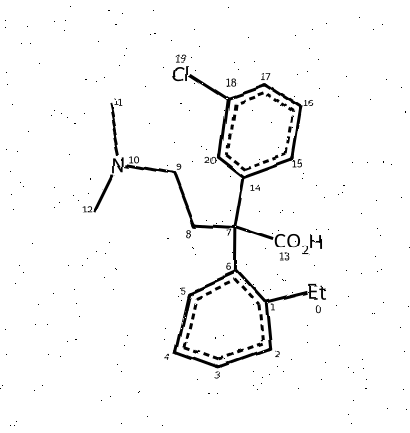 CCc1ccccc1C(CCN(C)C)(C(=O)O)c1cccc(Cl)c1